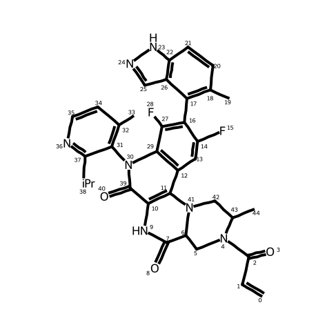 C=CC(=O)N1CC2C(=O)Nc3c(c4cc(F)c(-c5c(C)ccc6[nH]ncc56)c(F)c4n(-c4c(C)ccnc4C(C)C)c3=O)N2CC1C